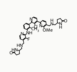 COc1nc(-c2ccnc(-c3cccc(Nc4nccc(CNCC5CCC(=O)N5)c4F)c3C)c2Cl)ccc1CNCC1CCC(=O)N1